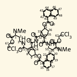 CNC(CCNC(=O)C1C2CC(OC(=O)c3cccc4ccccc34)C(C2)C1C(=O)NC(=O)C1C2CC(CC2OC(=O)c2cccc3ccccc23)C1C(=O)NCCC(NC)C(=O)OCC(Cl)(Cl)Cl)C(=O)OCC(Cl)(Cl)Cl